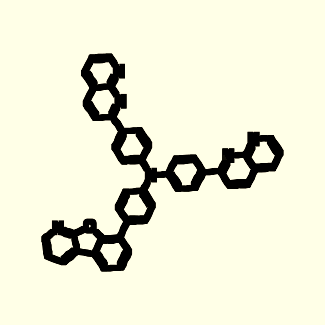 c1cnc2nc(-c3ccc(N(c4ccc(-c5ccc6cccnc6n5)cc4)c4ccc(-c5cccc6c5oc5ncccc56)cc4)cc3)ccc2c1